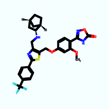 COc1cc(OCc2sc(-c3ccc(C(F)(F)F)cc3)nc2CN[C@@H]2C[C@H]3CC[C@@H]2C3)ccc1-c1noc(=O)[nH]1